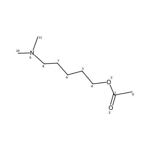 CC(=O)OCCCCCN(C)C